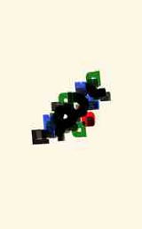 CCn1cc2c(Cl)c(C(=O)c3nc(C)c(Cl)nc3Cl)ccc2n1